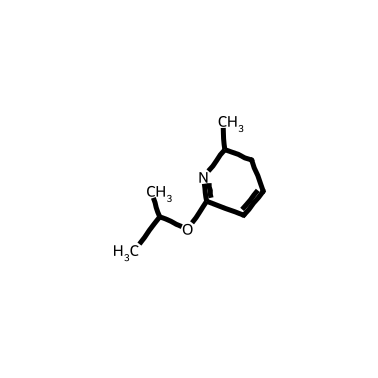 CC1CC=CC(OC(C)C)=N1